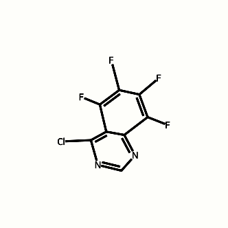 Fc1c(F)c(F)c2c(Cl)ncnc2c1F